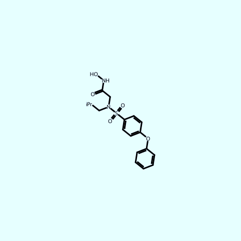 CC(C)CN(CC(=O)NO)S(=O)(=O)c1ccc(Oc2ccccc2)cc1